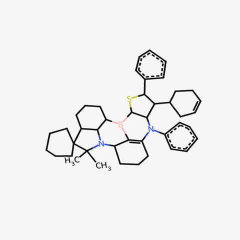 CC1(C)N2C3CCCC4=C3B(C3CCCC(C32)C12CCCCC2)C1SC(c2ccccc2)C(C2CC=CCC2)C1N4c1ccccc1